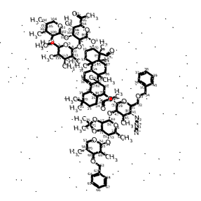 CCC1O[C@@H](OC2[C@H](O[C@H]3CCC4(C)C5CC=C6C7CC(C)(C)CC[C@]7(C(=O)O[C@@H]7OC(COCc8ccccc8)[C@H](N=[N+]=[N-])C(C)C7O[C@@H]7OC(C)[C@H](O[C@@H]8OC[C@@H](C)C(OCc9ccccc9)C8C)C8OC(C)(C)OC87)C(OC)C[C@@]6(C)C5(C)CC[C@H]4[C@@]3(C)C=O)OC(C(C)=O)[C@@H](C)[C@@H]2O[C@@H]2OC[C@@H](C)[C@H](C)C2C)C(C)[C@@H](C)[C@H]1C